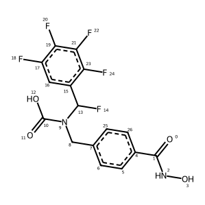 O=C(NO)c1ccc(CN(C(=O)O)C(F)c2cc(F)c(F)c(F)c2F)cc1